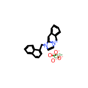 [O-][Cl+3]([O-])([O-])[O-].c1ccc2c[n+]3ccn(Cc4cccc5ccccc45)c3cc2c1